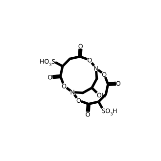 O=C1CC(S(=O)(=O)O)C(=O)ON2CC(O)CN(O1)OC(=O)CC(S(=O)(=O)O)C(=O)O2